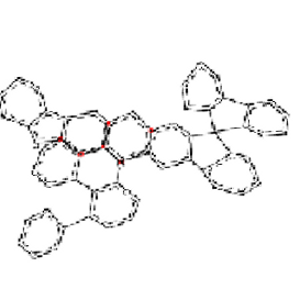 c1ccc(-c2ccccc2-c2c(-c3ccccc3)cccc2N(c2ccc3c(c2)-c2ccccc2C32c3ccccc3-c3ccccc32)c2ccc3c(c2)sc2ccccc23)cc1